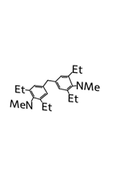 CCc1cc(Cc2cc(CC)c(NC)c(CC)c2)cc(CC)c1NC